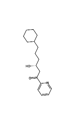 O=C(C[C@H](O)CCCC1CCCCC1)c1ccccn1